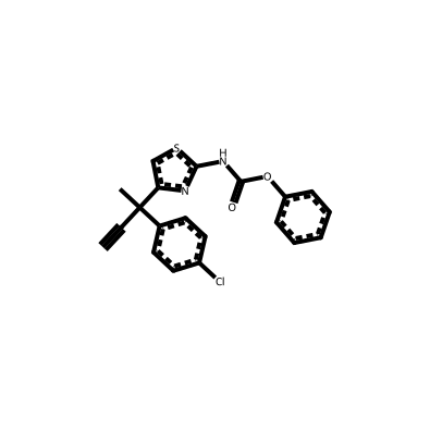 C#CC(C)(c1ccc(Cl)cc1)c1csc(NC(=O)Oc2ccccc2)n1